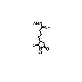 CCN1C(=O)CC(SCCC(=N)NC)C1=O